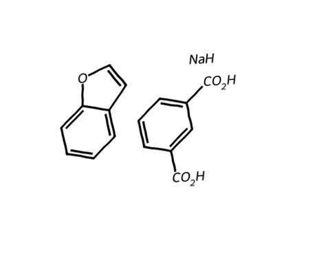 O=C(O)c1cccc(C(=O)O)c1.[NaH].c1ccc2occc2c1